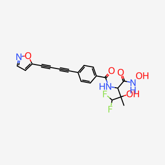 CC(O)(C(F)F)C(NC(=O)c1ccc(C#CC#Cc2ccno2)cc1)C(=O)NO